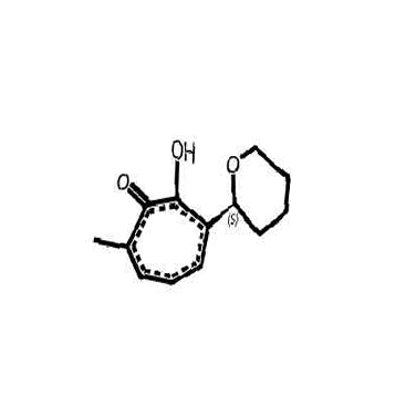 Cc1cccc([C@@H]2CCCCO2)c(O)c1=O